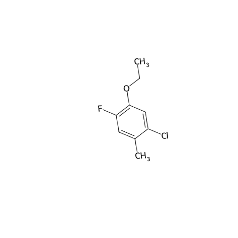 CCOc1cc(Cl)c(C)cc1F